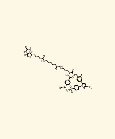 Cc1cc(-c2cc(C(F)(F)F)nn2-c2ccc(S(N)(=O)=O)cc2)ccc1COC(=O)[C@H](CCCCNC(=O)CCCCCNC(=O)CCCC[C@@H]1SC[C@@H]2NC(=O)N[C@H]21)NC(=O)c1ccc(N=[N+]=[N-])cc1